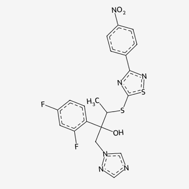 CC(Sc1nc(-c2ccc([N+](=O)[O-])cc2)ns1)C(O)(Cn1cncn1)c1ccc(F)cc1F